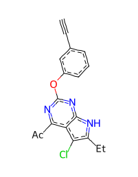 C#Cc1cccc(Oc2nc(C(C)=O)c3c(Cl)c(CC)[nH]c3n2)c1